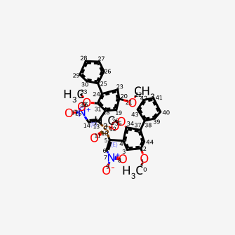 COc1cc(/C(=C\[N+](=O)[O-])S(=O)(=O)/C(=C/[N+](=O)[O-])c2cc(OC)cc(-c3ccccc3)c2OC)c(OC)c(-c2ccccc2)c1